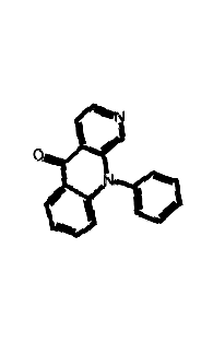 O=c1c2ccccc2n(-c2ccccc2)c2cnccc12